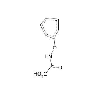 O=C(O)C(=O)NOc1ccccc1